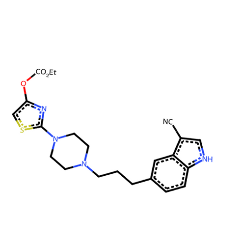 CCOC(=O)Oc1csc(N2CCN(CCCc3ccc4[nH]cc(C#N)c4c3)CC2)n1